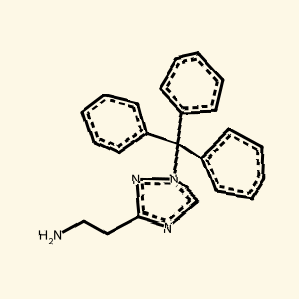 NCCc1ncn(C(c2ccccc2)(c2ccccc2)c2ccccc2)n1